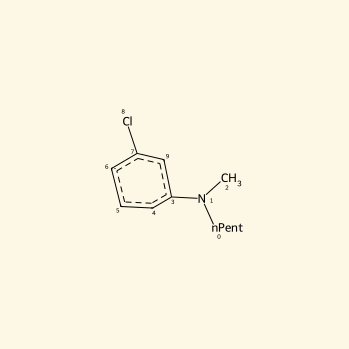 CCCCCN(C)c1cc[c]c(Cl)c1